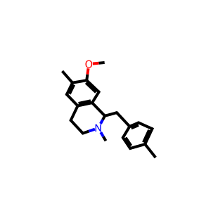 COc1cc2c(cc1C)CCN(C)C2Cc1ccc(C)cc1